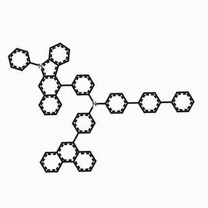 c1ccc(-c2ccc(-c3ccc(N(c4ccc(-c5cc6ccccc6c6ccccc56)cc4)c4cccc(-c5c6ccccc6cc6c5c5ccccc5n6-c5ccccc5)c4)cc3)cc2)cc1